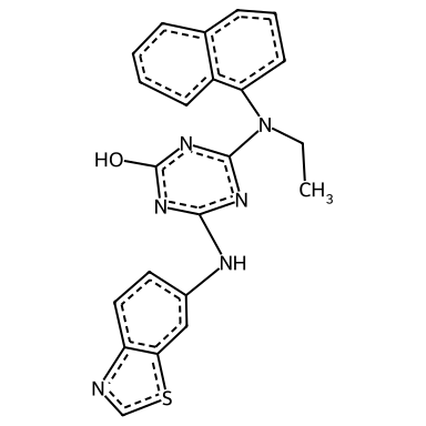 CCN(c1nc(O)nc(Nc2ccc3ncsc3c2)n1)c1cccc2ccccc12